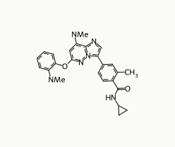 CNc1ccccc1Oc1cc(NC)c2ncc(-c3ccc(C(=O)NC4CC4)c(C)c3)n2n1